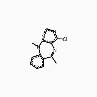 CC1=Nc2c(Cl)ncnc2N(C)c2ccccc21